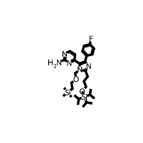 CC(C)[Si](OCCCc1nc(-c2ccc(F)cc2)c(-c2ccnc(N)n2)n1COCC[Si](C)(C)C)(C(C)C)C(C)C